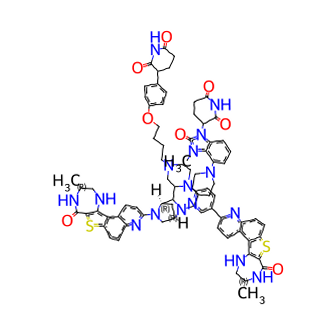 C[C@@H]1CNc2c(sc3ccc4nc(-c5ccc(N6CCN(CCCCOc7ccc(C8CCC(=O)NC8=O)cc7)CC6C6[C@H]7C[C@H](CN7c7ccc8c(ccc9sc%10c(c98)NC[C@@H](C)NC%10=O)n7)N6CC6CCN(c7cccc8c7n(C)c(=O)n8C7CCC(=O)NC7=O)CC6)nc5)ccc4c23)C(=O)N1